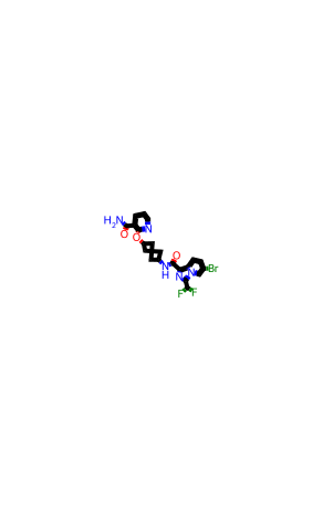 NC(=O)c1cccnc1OC1CC2(CC(NC(=O)c3nc(C(F)F)n4cc(Br)ccc34)C2)C1